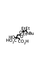 CCCCC(CC)C(CC)(CC)OC(=O)CC(O)(CC(=O)O)C(=O)O